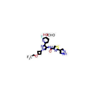 O=C(Nc1cn(C2CC(OCC(F)(F)F)C2)nc1-c1cccc(F)n1)c1csc(-c2cn[nH]c2)n1.O=CO